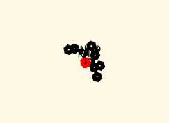 C1=CC2Oc3ccc(-n4c5ccccc5c5cc(-c6ccccc6)c6ccccc6c54)cc3C2C(c2nc(-c3ccccc3)nc(-c3ccc4ccccc4c3)n2)=C1